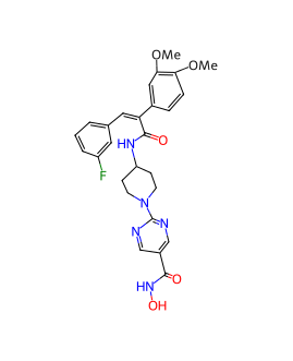 COc1ccc(C(=Cc2cccc(F)c2)C(=O)NC2CCN(c3ncc(C(=O)NO)cn3)CC2)cc1OC